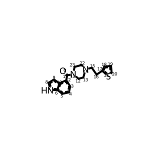 O=C(c1cccc2[nH]ccc12)N1CCN(CCc2cccs2)CC1